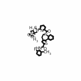 Cc1cccc(F)c1NC(=O)c1cc2c(s1)-c1ccccc1N(C(=O)c1cccc(N(C)CC3(C)CCS3(=O)=O)n1)CC2